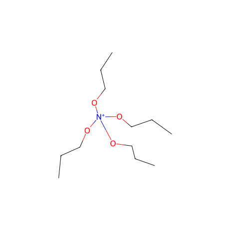 CCCO[N+](OCCC)(OCCC)OCCC